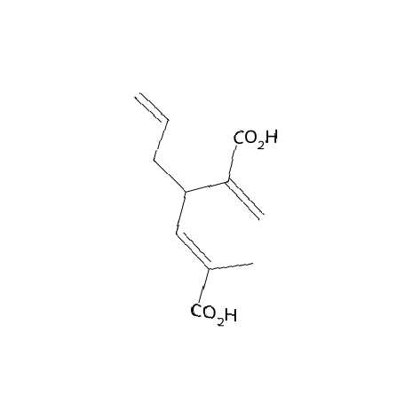 C=CCC(C=C(C)C(=O)O)C(=C)C(=O)O